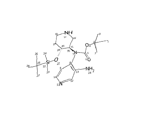 CC(C)(C)OC(=O)N(c1ccncc1N)[C@@H]1CNCC[C@H]1O[Si](C)(C)C(C)(C)C